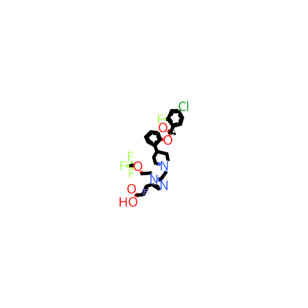 C[C@]1(c2ccc(Cl)cc2F)Oc2cccc(C3CCN(Cc4ncc(/C=C/C(=O)O)n4CCOC(F)(F)F)CC3)c2O1